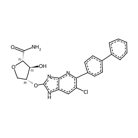 NC(=O)[C@H]1OC[C@@H](Oc2nc3nc(-c4ccc(-c5ccccc5)cc4)c(Cl)cc3[nH]2)[C@@H]1O